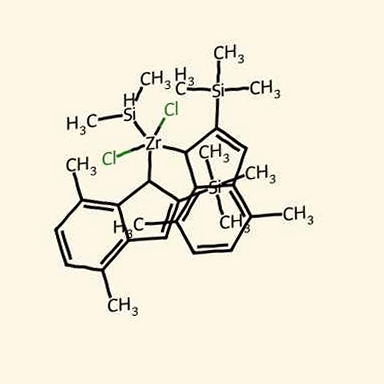 Cc1ccc(C)c2c1C=C([Si](C)(C)C)[CH]2[Zr]([Cl])([Cl])([CH]1C([Si](C)(C)C)=Cc2c(C)ccc(C)c21)[SiH](C)C